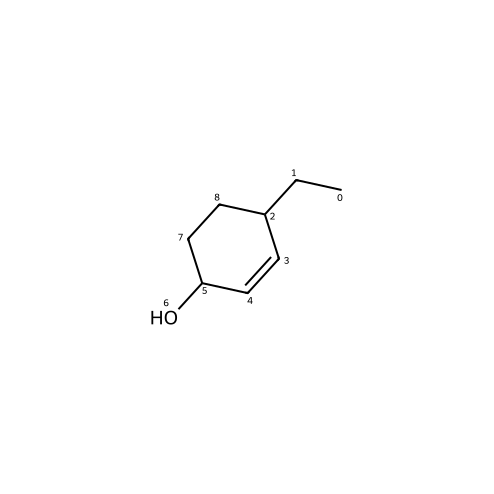 CCC1C=CC(O)CC1